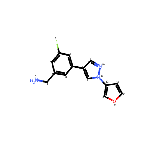 NCc1cc(F)cc(-c2cnn(-c3ccoc3)c2)c1